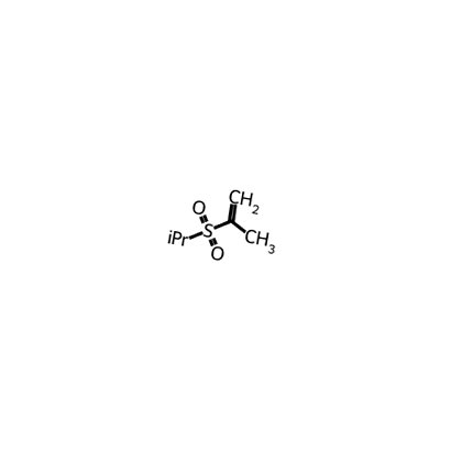 C=C(C)S(=O)(=O)C(C)C